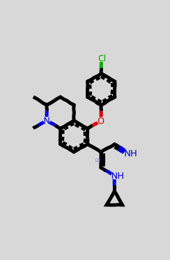 CC1CCc2c(ccc(/C(C=N)=C/NC3CC3)c2Oc2ccc(Cl)cc2)N1C